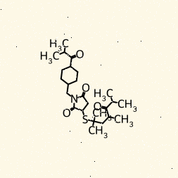 CC(C)C(=O)C(C)CC(C)(C)SC1CC(=O)N(CC2CCC(C(=O)C(C)C)CC2)C1=O